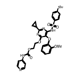 COc1ccccc1Oc1c(NS(=O)(=O)c2ccc(C(C)(C)C)cc2)nc(C2CC2)nc1OCCOC(=O)Nc1ccncc1